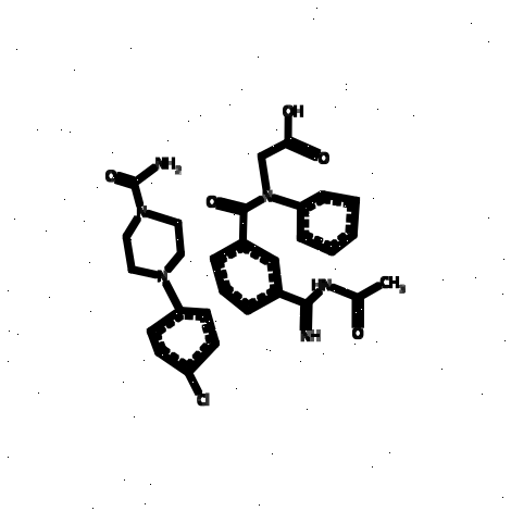 CC(=O)NC(=N)c1cccc(C(=O)N(CC(=O)O)c2ccccc2)c1.NC(=O)N1CCN(c2ccc(Cl)cc2)CC1